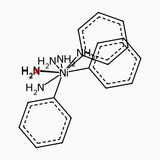 [NH2][Ni]([NH2])([NH2])([NH2])([NH2])([NH2])([c]1ccccc1)([c]1ccccc1)[c]1ccccc1